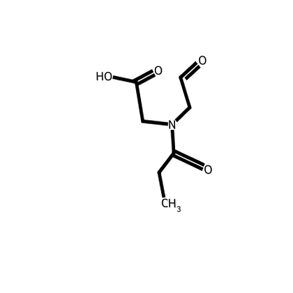 CCC(=O)N(CC=O)CC(=O)O